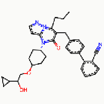 CCCc1c(Cc2ccc(-c3ccccc3C#N)cc2)c(=O)n([C@H]2CC[C@H](OCC(O)C3CC3)CC2)c2ccnn12